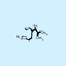 C=C(C)C(C(C)=O)C(Cl)/C=C\C